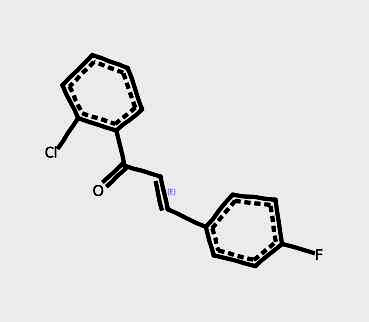 O=C(/C=C/c1ccc(F)cc1)c1ccccc1Cl